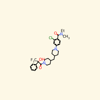 CCN(C)C(=O)c1ccc(N2CCC(CC3CCN(C(=O)C(O)(c4ccccc4)C(F)(F)F)CC3)CC2)cc1Cl